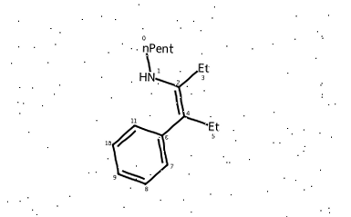 CCCCCNC(CC)=C(CC)c1ccccc1